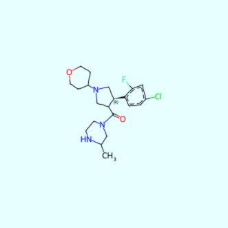 CC1CN(C(=O)C2CN(C3CCOCC3)C[C@H]2c2ccc(Cl)cc2F)CCN1